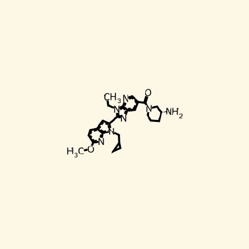 CCn1c(-c2cc3ccc(OC)nc3n2CC2CC2)nc2cc(C(=O)N3CCC[C@@H](N)C3)cnc21